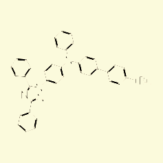 CC(C)(C)c1ccc(-c2ccc(N(c3ccccc3)c3ccc(-n4nc(-c5ccccc5)nc4-c4ccccc4)cc3)cc2)cc1